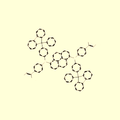 C/C=C(\C)c1ccc(N(c2ccc(C3(c4ccccc4)c4ccccc4-c4ccccc43)cc2)c2ccc3ccc4c(N(c5ccc(/C(C)=C/C)cc5)c5ccc(C6(c7ccccc7)c7ccccc7-c7ccccc76)cc5)ccc5ccc2c3c54)cc1